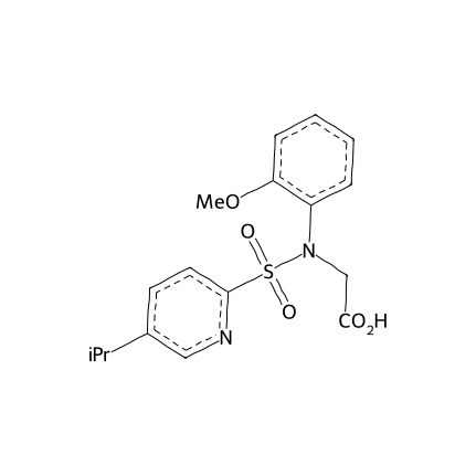 COc1ccccc1N(CC(=O)O)S(=O)(=O)c1ccc(C(C)C)cn1